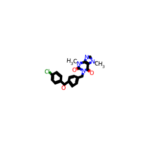 Cn1cnc2c1c(=O)n(Cc1ccc(C(=O)c3ccc(Cl)cc3)cc1)c(=O)n2C